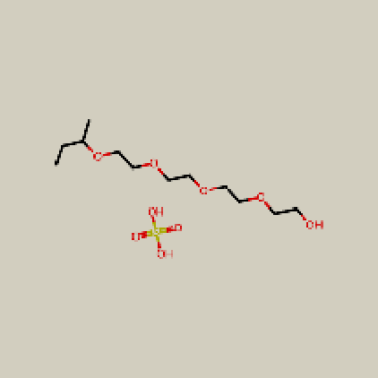 CCC(C)OCCOCCOCCOCCO.O=S(=O)(O)O